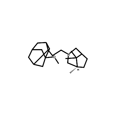 COC12CC3CC(C1)C(CCN1CC4CC[C@@](C)(C1)C4(C)C)C(C3)C2